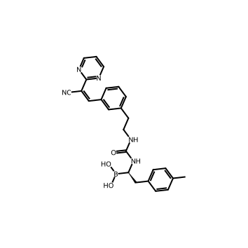 Cc1ccc(C[C@H](NC(=O)NCCc2cccc(C=C(C#N)c3ncccn3)c2)B(O)O)cc1